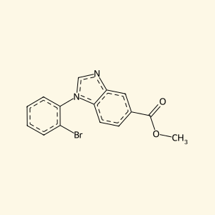 COC(=O)c1ccc2c(c1)ncn2-c1ccccc1Br